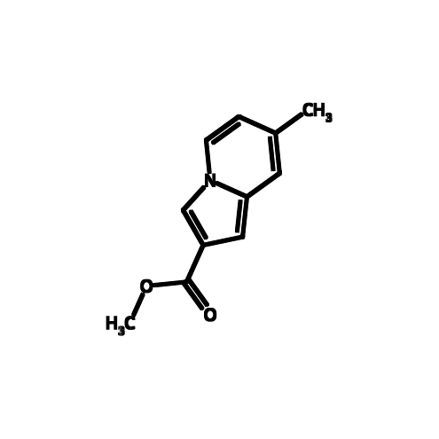 COC(=O)c1cc2cc(C)ccn2c1